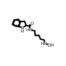 O=C(NCCCCCNO)C1Cc2ccccc2N1